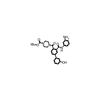 CC(C)(C)OC(=O)N1CCN(C(=O)c2ccc(-c3cccc(O)c3)cc2C(=O)Nc2cccc(N)c2)CC1